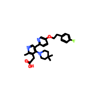 Cc1ncc(-c2ccc(OCCc3ccc(F)cc3)cn2)c(N2CCC(C)(C)CC2)c1CC(=O)O